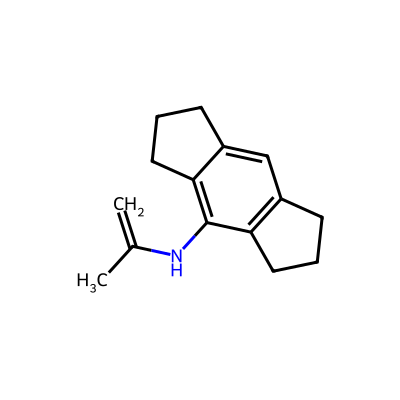 C=C(C)Nc1c2c(cc3c1CCC3)CCC2